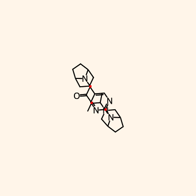 CCC(=O)CN1C2CCC1CC(c1cnc(N3C4CCC3CN(C(C)C)C4)nc1)C2